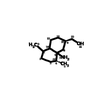 CC1CC[C@@H](C)C2(N)C[C@H](CO)CCC12